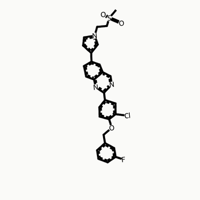 CS(=O)(=O)CCn1ccc(-c2ccc3nc(-c4ccc(OCc5cccc(F)c5)c(Cl)c4)ncc3c2)c1